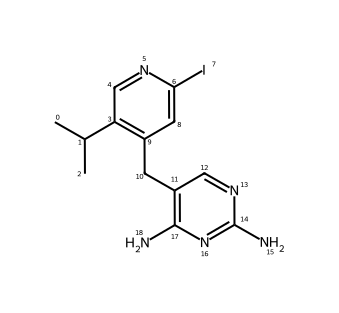 CC(C)c1cnc(I)cc1Cc1cnc(N)nc1N